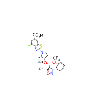 CC[C@@H](C)CC1C(OCc2c(-c3ccccc3OC(F)(F)F)noc2C2CC2)CCN1c1nc2c(F)cc(C(=O)O)cc2s1